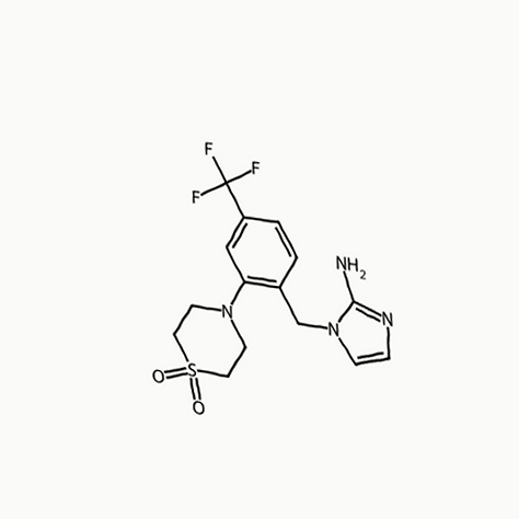 Nc1nccn1Cc1ccc(C(F)(F)F)cc1N1CCS(=O)(=O)CC1